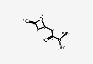 CC(C)N(C(=O)CC1CC(=O)O1)C(C)C